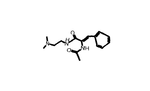 CC(=O)N/C(=C\c1ccccc1)C(=O)NCCN(C)C